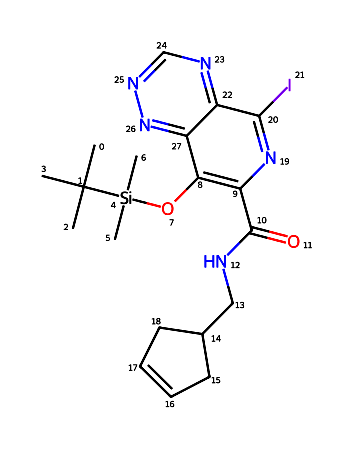 CC(C)(C)[Si](C)(C)Oc1c(C(=O)NCC2CC=CC2)nc(I)c2ncnnc12